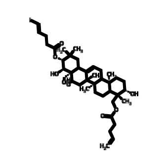 C=CCCC(=O)OC[C@]1(C)C2CC[C@]3(C)C(CC=C4C5CC(C)(C)[C@@H](OC(=O)CC/C=C/I)[C@H](O)[C@]5(CO)[C@H](O)C[C@]43C)[C@@]2(C)CC[C@@H]1O